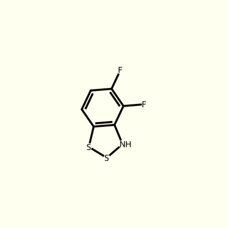 Fc1ccc2c(c1F)NSS2